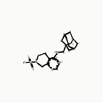 CC(C)S(=O)(=O)N1CCc2c(ncnc2NCC23CC4CC(CC(C4)C2)C3)C1